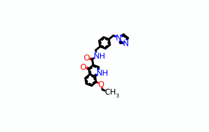 CCOc1cccc2c(=O)c(C(=O)NCc3ccc(Cn4ccnc4)cc3)c[nH]c12